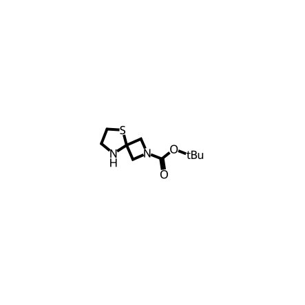 CC(C)(C)OC(=O)N1CC2(C1)NCCS2